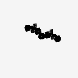 O=C(Cc1ccccc1)Nc1ccc([C@@H]2CCC[C@H](c3ccc(NC(=O)Cc4ccccc4)nn3)C2)nn1